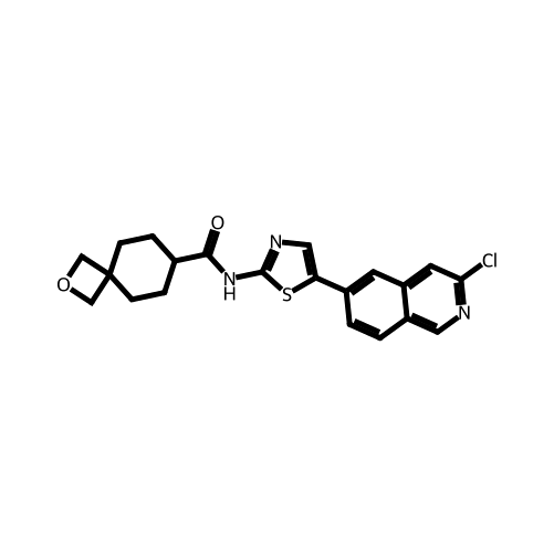 O=C(Nc1ncc(-c2ccc3cnc(Cl)cc3c2)s1)C1CCC2(CC1)COC2